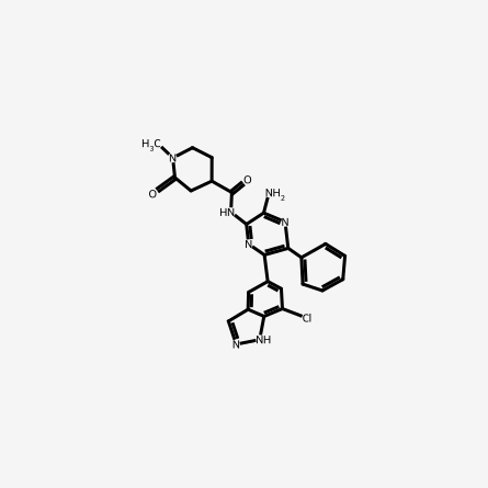 CN1CCC(C(=O)Nc2nc(-c3cc(Cl)c4[nH]ncc4c3)c(-c3ccccc3)nc2N)CC1=O